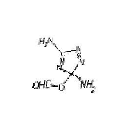 NC1=NC(N)(OC=O)N=N1